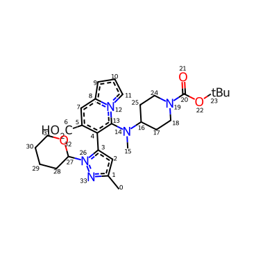 Cc1cc(-c2c(C(=O)O)cc3cccn3c2N(C)C2CCN(C(=O)OC(C)(C)C)CC2)n(C2CCCCO2)n1